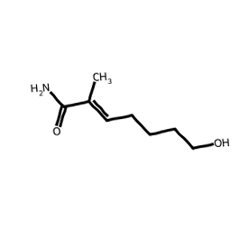 C/C(=C\CCCCO)C(N)=O